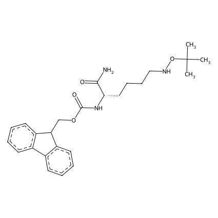 CC(C)(C)ONCCCC[C@H](NC(=O)OCC1c2ccccc2-c2ccccc21)C(N)=O